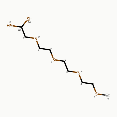 CCSCCSCCSCCSCC(S)S